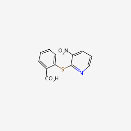 O=C(O)c1ccccc1Sc1ncccc1[N+](=O)[O-]